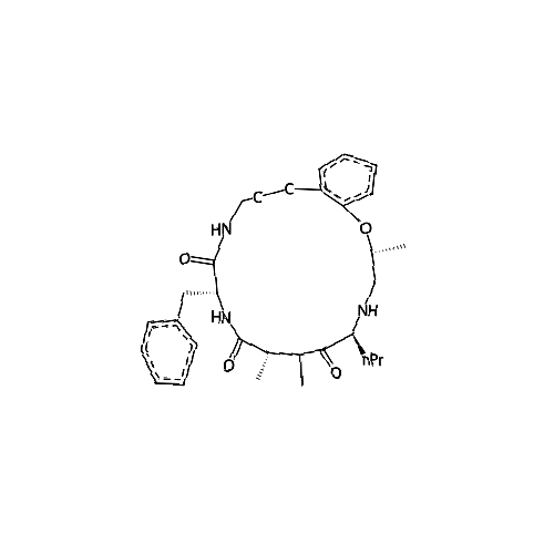 CCC[C@@H]1NC[C@@H](C)Oc2ccccc2CCCNC(=O)[C@@H](Cc2ccccc2)NC(=O)[C@@H](C)C(C)C1=O